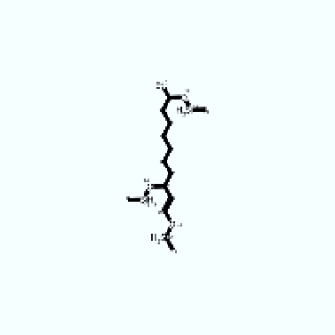 CCC(CCCCCCC(C=CO[SiH2]C)O[SiH2]C)O[SiH2]C